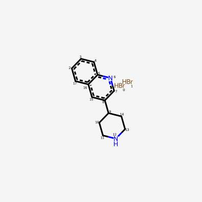 Br.Br.c1ccc2ncc(C3CCNCC3)cc2c1